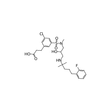 CN(CC(O)CNC(C)(C)CCCc1ccccc1F)S(=O)(=O)c1cc(Cl)cc(CCC(=O)O)c1